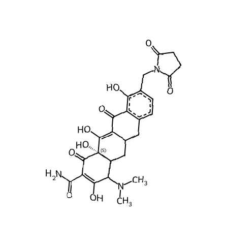 CN(C)C1C(O)=C(C(N)=O)C(=O)[C@@]2(O)C(O)=C3C(=O)c4c(ccc(CN5C(=O)CCC5=O)c4O)CC3CC12